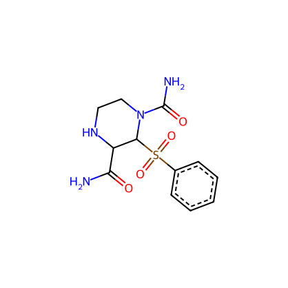 NC(=O)C1NCCN(C(N)=O)C1S(=O)(=O)c1ccccc1